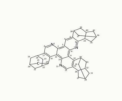 c1nc2c3cc4c(nc3c3c5c(cnc3c2c2c1C1CC3CC(C1)C2C3)C1CC2CC5CC1C2)C1CC2CC4CC1C2